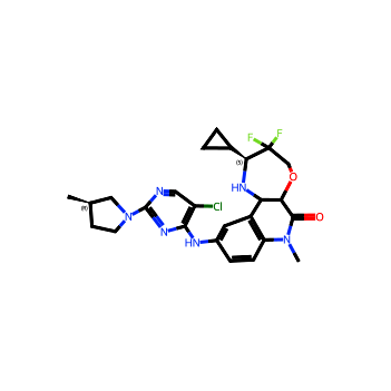 C[C@@H]1CCN(c2ncc(Cl)c(Nc3ccc4c(c3)C3N[C@@H](C5CC5)C(F)(F)COC3C(=O)N4C)n2)C1